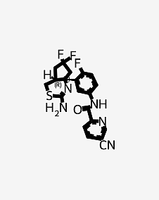 N#Cc1ccc(C(=O)Nc2ccc(F)c([C@]34CC(F)(F)C[C@H]3CSC(N)=N4)c2)nc1